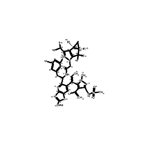 C=C(Cl)c1c(NS(C)(=O)=O)nn(C)c1/C(=C\C)c1cc2sc(SC)nc2nc1C(Cc1cc(F)cc(F)c1)NC(=O)Cn1nc(C(F)F)c2c1C(F)(F)[C@@H]1C[C@H]21